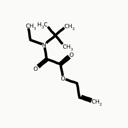 C=CCOC(=O)C(=O)N(CC)C(C)(C)C